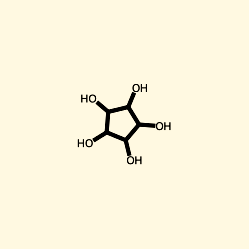 OC1C(O)C(O)C(O)C1O